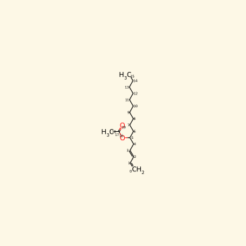 C=CC=CCC(CCCCCCCCCC)OC(C)=O